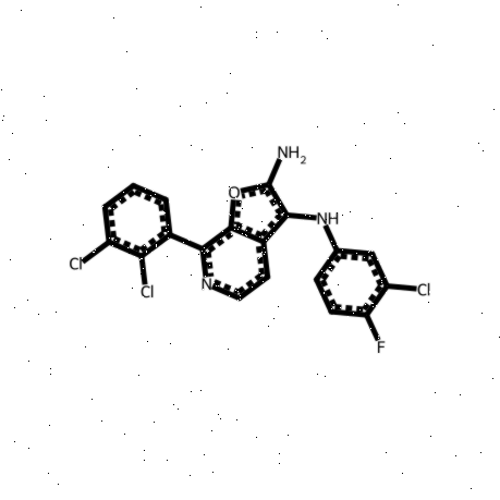 Nc1oc2c(-c3cccc(Cl)c3Cl)nccc2c1Nc1ccc(F)c(Cl)c1